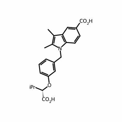 Cc1c(C)n(Cc2cccc(O[C@H](C(=O)O)C(C)C)c2)c2ccc(C(=O)O)cc12